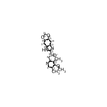 COc1c(C)cnc(C[S+]([O-])c2nc3cc4c(cc3[nH]2)OCO4)c1C